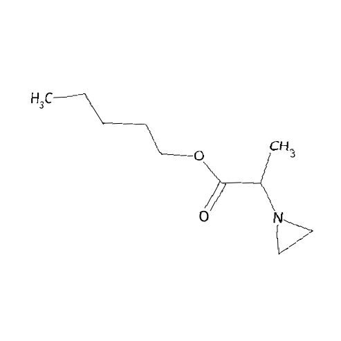 CCCCCOC(=O)C(C)N1CC1